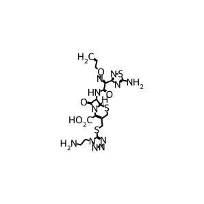 C=CCON=C(C(=O)NC1C(=O)N2C(C(=O)O)=C(CSc3nnnn3CCN)CS[C@@H]12)c1nsc(N)n1